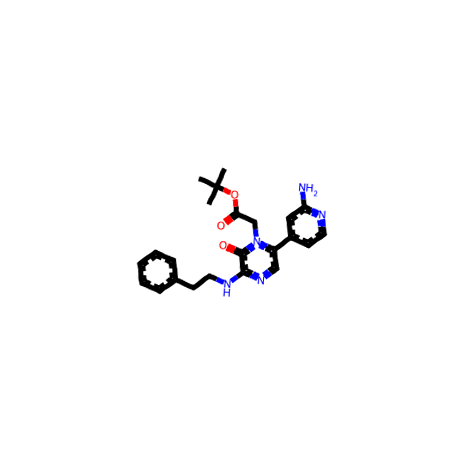 CC(C)(C)OC(=O)Cn1c(-c2ccnc(N)c2)cnc(NCCc2ccccc2)c1=O